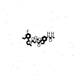 CCc1cc(F)ccc1C1CCC(C)N1C(=O)CN1C(=O)O[C@@]2(CCc3cc(NC(=O)NC)ccc32)C1=O